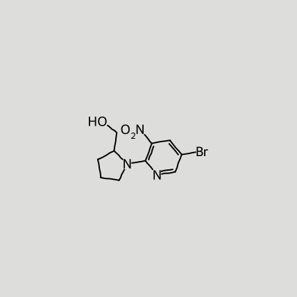 O=[N+]([O-])c1cc(Br)cnc1N1CCCC1CO